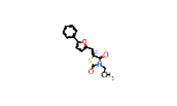 CCN1C(=O)S/C(=C\c2ccc(-c3ccccc3)o2)C1=O